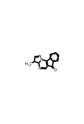 CC1C=NN2C3=C(C=NC12)C(=O)c1ccccc13